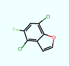 Fc1cc(Cl)c2occc2c1Cl